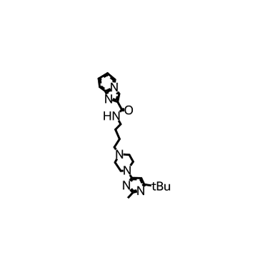 Cc1nc(N2CCN(CCCCNC(=O)c3cn4ccccc4n3)CC2)cc(C(C)(C)C)n1